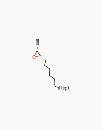 C#C[C@H]1O[C@H]1CCCCCCCCCCCCC